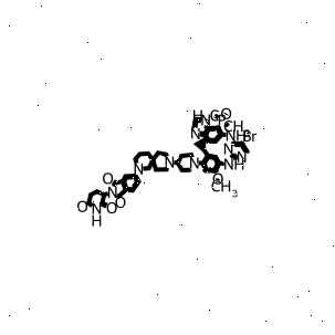 COc1cc(N2CCC(N3CCC4(CCCN(c5ccc6c(c5)C(=O)N(C5CCC(=O)NC5=O)C6=O)C4)CC3)CC2)c(C2CC2)cc1Nc1ncc(Br)c(Nc2ccc3nccnc3c2P(C)(C)=O)n1